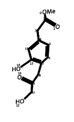 COC(=O)Cc1ccc(CC(=O)CO)c(O)c1